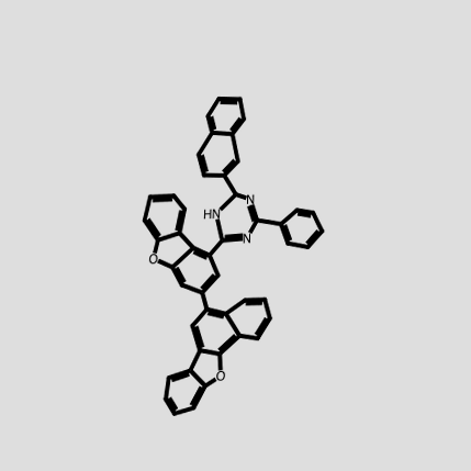 c1ccc(C2=NC(c3ccc4ccccc4c3)NC(c3cc(-c4cc5c6ccccc6oc5c5ccccc45)cc4oc5ccccc5c34)=N2)cc1